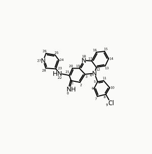 N=c1cc2n(-c3ccc(Cl)cc3)c3ccccc3nc-2cc1Nc1cccnc1